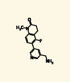 CN1C(=O)CCc2c1ccc(-c1cncc(CN)c1)c2F